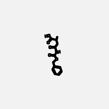 CC(CC(=O)NC(=O)OCc1ccccc1)C(=O)O